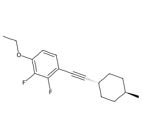 CCOc1ccc(C#C[C@H]2CC[C@H](C)CC2)c(F)c1F